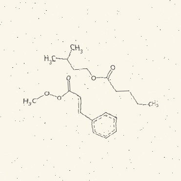 CCCCC(=O)OCCC(C)C.COOC(=O)C=Cc1ccccc1